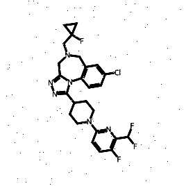 Fc1ccc(N2CCC(c3nnc4n3-c3ccc(Cl)cc3CN(CC3(F)CC3)C4)CC2)nc1C(F)F